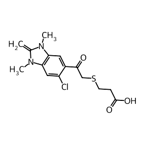 C=C1N(C)c2cc(Cl)c(C(=O)CSCCC(=O)O)cc2N1C